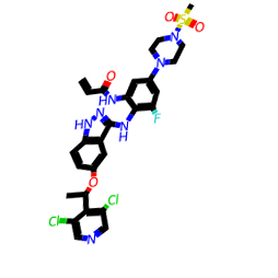 C=CC(=O)Nc1cc(N2CCN(S(C)(=O)=O)CC2)cc(F)c1Nc1n[nH]c2ccc(OC(C)c3c(Cl)cncc3Cl)cc12